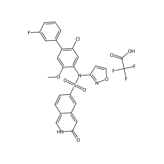 COc1cc(-c2cccc(F)c2)c(Cl)cc1N(c1ccon1)S(=O)(=O)c1ccc2c[nH]c(=O)cc2c1.O=C(O)C(F)(F)F